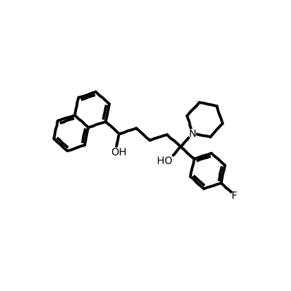 OC(CCCC(O)(c1ccc(F)cc1)N1CCCCC1)c1cccc2ccccc12